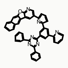 c1ccc(-c2nc(-c3ccccc3)nc(-c3cc(-c4ccccn4)cc(-c4cccc(-c5cnc6oc7cc8ccccc8cc7c6c5)n4)c3)n2)cc1